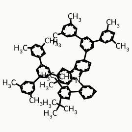 Cc1cc(C)cc(-c2cc(-c3cc(C)cc(C)c3)cc(-c3ccc4c(c3)c3cc(-c5cc(-c6cc(C)cc(C)c6)cc(-c6cc(C)cc(C)c6)c5)ccc3n4-c3ccccc3-c3cc(C(C)(C)C)cc(C(C)(C)C)c3)c2)c1